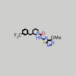 COc1ncnc2sc(NC(=O)N3CCCC(Cc4cccc(C(F)(F)F)c4)C3)nc12